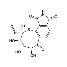 O=N[C@@]1(O)Sc2c(ccc3c2C(=O)NC3=O)C(=O)[C@@H](O)[C@H](O)[C@H]1O